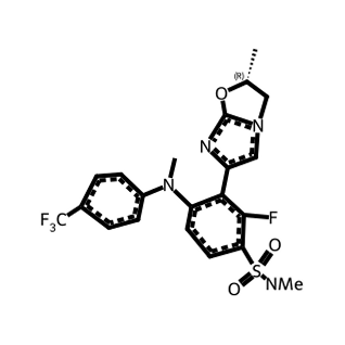 CNS(=O)(=O)c1ccc(N(C)c2ccc(C(F)(F)F)cc2)c(-c2cn3c(n2)O[C@H](C)C3)c1F